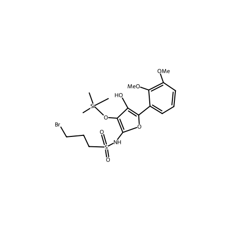 COc1cccc(-c2oc(NS(=O)(=O)CCCBr)c(O[Si](C)(C)C)c2O)c1OC